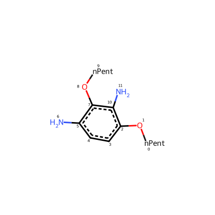 CCCCCOc1ccc(N)c(OCCCCC)c1N